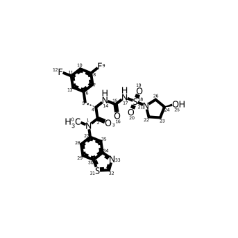 CN(C(=O)[C@H](Cc1cc(F)cc(F)c1)NC(=O)NS(=O)(=O)N1CC[C@H](O)C1)c1ccc2scnc2c1